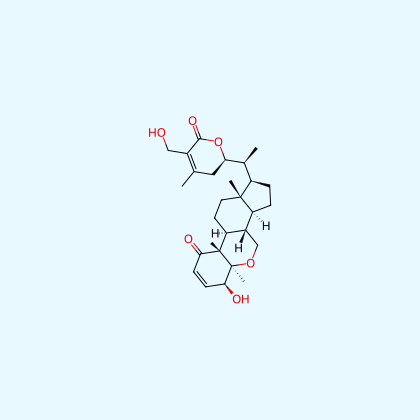 CC1=C(CO)C(=O)O[C@@H]([C@@H](C)[C@H]2CC[C@H]3[C@@H]4CO[C@@]5(C)[C@@H](O)C=CC(=O)[C@]5(C)[C@H]4CC[C@]23C)C1